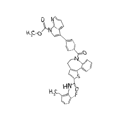 COC(=O)n1cc(-c2ccc(C(=O)N3CCc4cc(C(=O)Nc5c(C)cccc5F)sc4-c4ccccc43)cc2)c2cccnc21